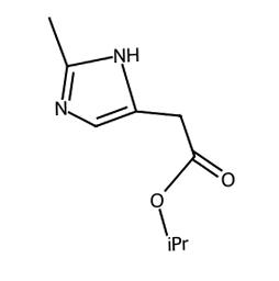 Cc1ncc(CC(=O)OC(C)C)[nH]1